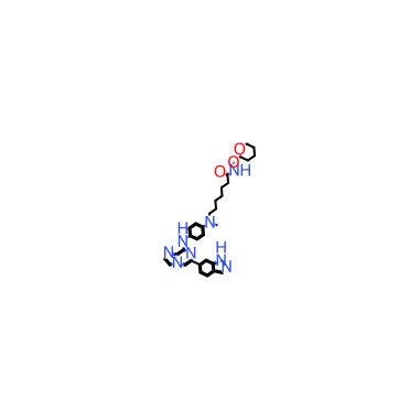 CN(CCCCCCC(=O)NOC1CCCCO1)c1ccc(Nc2nc(-c3ccc4cn[nH]c4c3)cn3ccnc23)cc1